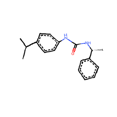 CC(C)c1ccc(NC(=O)N[C@H](C)c2ccccc2)cc1